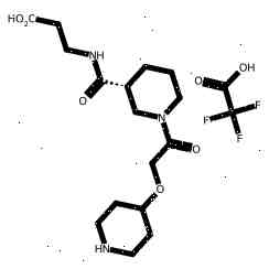 O=C(O)C(F)(F)F.O=C(O)CCNC(=O)[C@@H]1CCCN(C(=O)COC2CCNCC2)C1